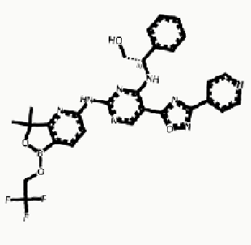 CC1(C)OB(OCC(F)(F)F)c2ccc(Nc3ncc(-c4nc(-c5ccncc5)no4)c(N[C@H](CO)c4ccccc4)n3)nc21